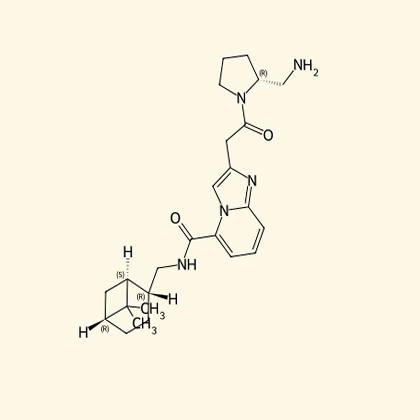 CC1(C)[C@@H]2CC[C@@H](CNC(=O)c3cccc4nc(CC(=O)N5CCC[C@@H]5CN)cn34)[C@@H]1C2